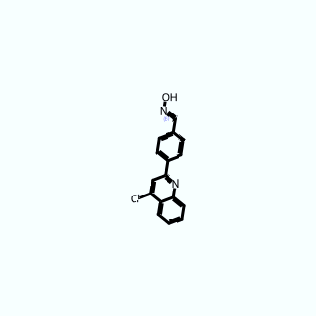 O/N=C/c1ccc(-c2cc(Cl)c3ccccc3n2)cc1